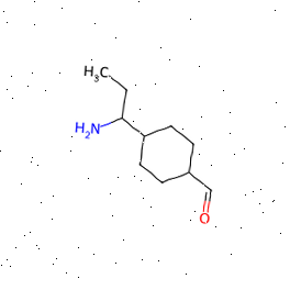 CCC(N)C1CCC(C=O)CC1